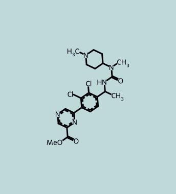 COC(=O)c1cncc(-c2ccc(C(C)NC(=O)N(C)C3CCN(C)CC3)c(Cl)c2Cl)n1